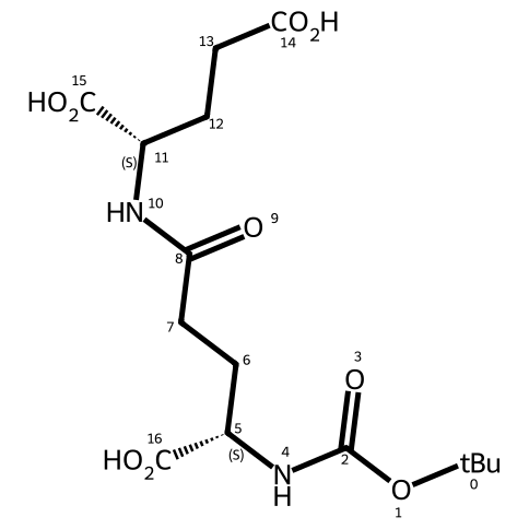 CC(C)(C)OC(=O)N[C@@H](CCC(=O)N[C@@H](CCC(=O)O)C(=O)O)C(=O)O